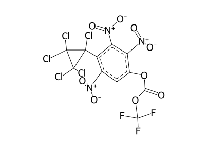 O=C(Oc1cc([N+](=O)[O-])c(C2(Cl)C(Cl)(Cl)C2(Cl)Cl)c([N+](=O)[O-])c1[N+](=O)[O-])OC(F)(F)F